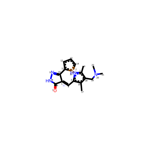 Cc1[nH]c(/C=C2/C(=O)NN=C2c2cccs2)c(C)c1CN(C)C